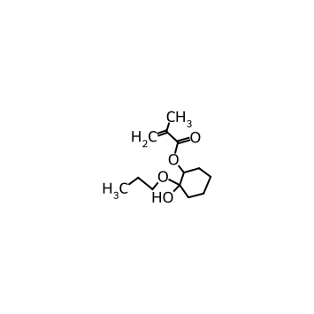 C=C(C)C(=O)OC1CCCCC1(O)OCCC